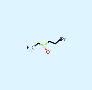 CC(C)CC[S+]([O-])CC(F)(F)F